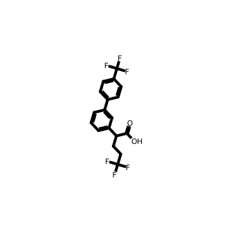 O=C(O)C(CCC(F)(F)F)c1cccc(-c2ccc(C(F)(F)F)cc2)c1